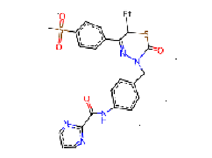 CCC1SC(=O)N(Cc2ccc(NC(=O)c3ncccn3)cc2)N=C1c1ccc(S(C)(=O)=O)cc1